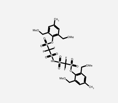 COCc1cc(C)cc(COC)c1OS(=O)(=O)C(F)(F)S(=O)(=O)NS(=O)(=O)C(F)(F)S(=O)(=O)Oc1c(COC)cc(C)cc1COC